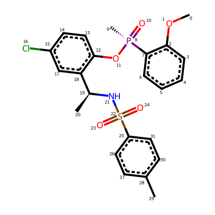 COc1ccccc1[P@](C)(=O)Oc1ccc(Cl)cc1[C@H](C)NS(=O)(=O)c1ccc(C)cc1